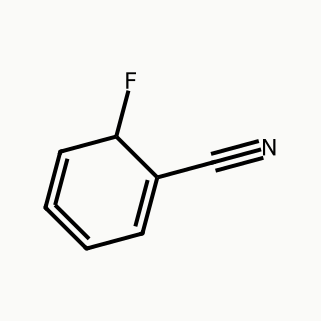 N#CC1=CC=C=CC1F